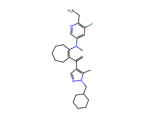 BCc1ncc(N(C)C2=C(C(=C)c3cnn(CC4CCCCC4)c3C)CCCCC2)cc1F